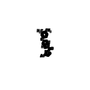 CC(=O)c1ccn(C(=O)N2C[C@H]3C[C@H](Oc4ccc(C)c(C)c4)C[C@H]3C2)n1